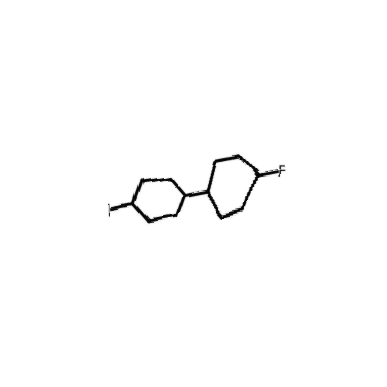 FC1CCC(C2CCC(I)CC2)CC1